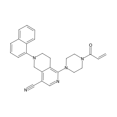 C=CC(=O)N1CCN(c2ncc(C#N)c3c2CCN(c2cccc4ccccc24)C3)CC1